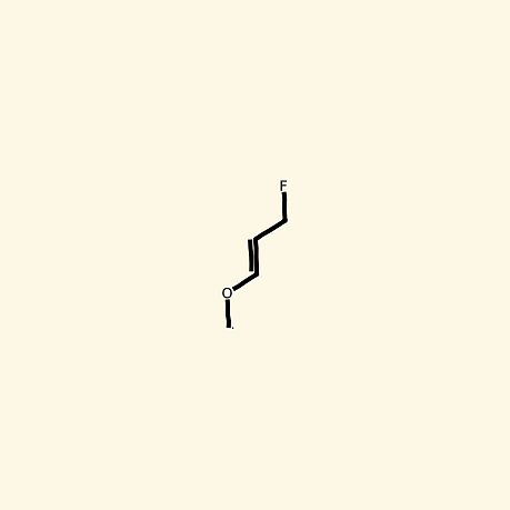 [CH2]OC=CCF